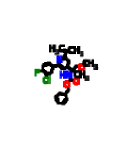 C=C(C)c1cc(C(C)(COC)NC(=O)OCc2ccccc2)cc(-c2ccc(F)c(Cl)c2)n1